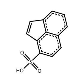 O=S(=O)(O)c1ccc2cccc3c2c1C=C3